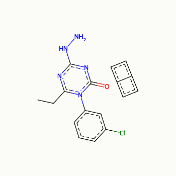 CCc1nc(NN)nc(=O)n1-c1cccc(Cl)c1.c1cc2ccc1-2